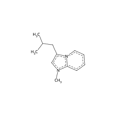 CC(C)Cc1cn(C)c2cccc[n+]12